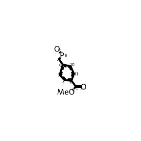 COC(=O)c1ccc(CP=O)cc1